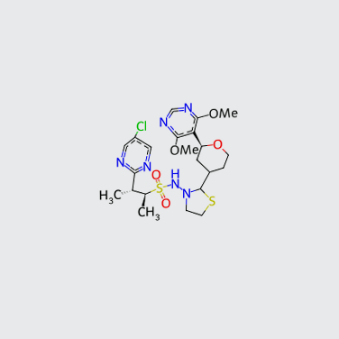 COc1ncnc(OC)c1[C@@H]1CC(C2SCCN2NS(=O)(=O)[C@@H](C)[C@H](C)c2ncc(Cl)cn2)CCO1